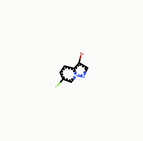 Fc1ccc2c(Br)cnn2c1